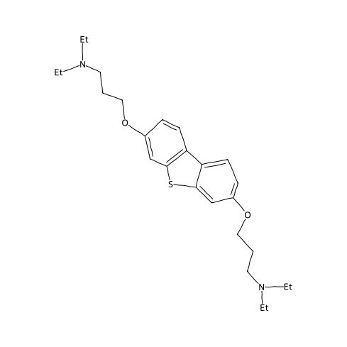 CCN(CC)CCCOc1ccc2c(c1)sc1cc(OCCCN(CC)CC)ccc12